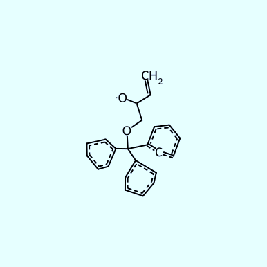 C=CC([O])COC(c1ccccc1)(c1ccccc1)c1ccccc1